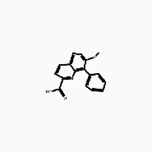 CSc1ccc2ccc(C(=O)O)nc2c1-c1ccccc1